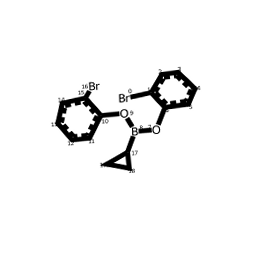 Brc1ccccc1OB(Oc1ccccc1Br)C1CC1